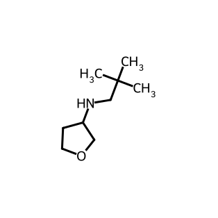 CC(C)(C)CNC1CCOC1